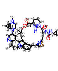 CCn1c(-c2cc(N3CCN(C)[C@H]4C[C@H]43)cnc2[C@H](C)OC)c2c3cc(ccc31)-c1csc(n1)C[C@H](NC(=O)[C@H]1C[C@@H]1C)C(=O)N1CCC[C@H](N1)C(=O)OCC(C)(C)C2